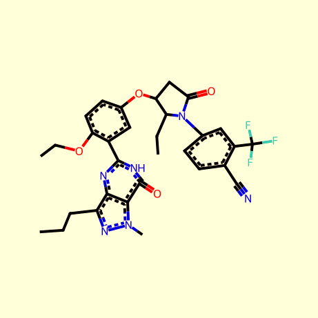 CCCc1nn(C)c2c(=O)[nH]c(-c3cc(OC4CC(=O)N(c5ccc(C#N)c(C(F)(F)F)c5)C4CC)ccc3OCC)nc12